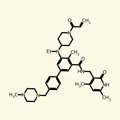 C=CC(=O)N1CCC(N(CC)c2cc(-c3ccc(CN4CCN(C)CC4)cc3)cc(C(=O)NCc3c(C)cc(C)[nH]c3=O)c2C)CC1